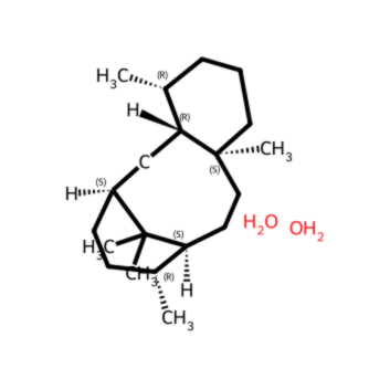 C[C@@H]1CCC[C@@]2(C)CC[C@H]3[C@H](C)CC[C@@H](C[C@H]12)C3(C)C.O.O